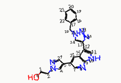 OCCn1cc(-c2cnc3[nH]cc(-c4cn(Cc5ccccc5)nn4)c3c2)cn1